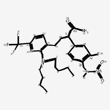 CCCCN(CCCC)c1nc(C(F)(F)F)ccc1CCC(C(N)=O)c1ccc(N(C)[SH](=O)=O)c(F)c1